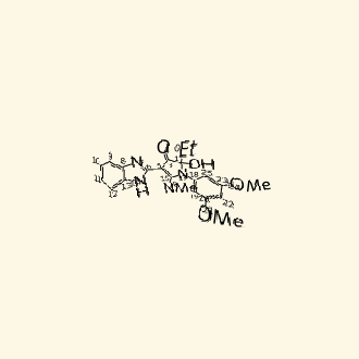 CCC1(O)C(=O)C(c2nc3ccccc3[nH]2)=C(NC)N1c1cc(OC)cc(OC)c1